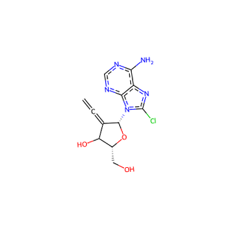 C=C=C1C(O)[C@@H](CO)O[C@H]1n1c(Cl)nc2c(N)ncnc21